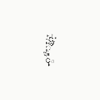 O=S(=O)(c1c(F)c(F)c(F)c(F)c1F)C1CCN(c2nc(-c3ccc(F)c(Cl)c3)cs2)CC1